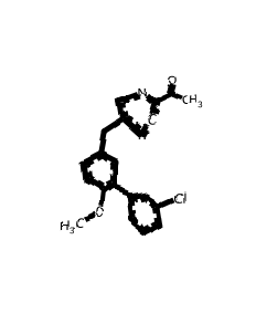 COc1ccc(Cc2ccc(C(C)=O)nc2)cc1-c1cccc(Cl)c1